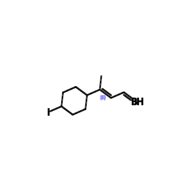 B=C/C=C(\C)C1CCC(I)CC1